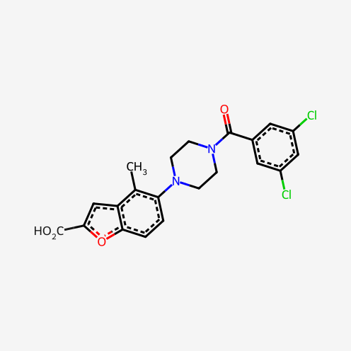 Cc1c(N2CCN(C(=O)c3cc(Cl)cc(Cl)c3)CC2)ccc2oc(C(=O)O)cc12